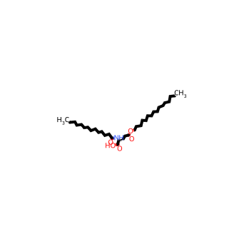 CCCCCCCCCCCCCCCCOC(=O)CC[C@H](NC(=O)CCCCCCCCCCCCC)C(=O)O